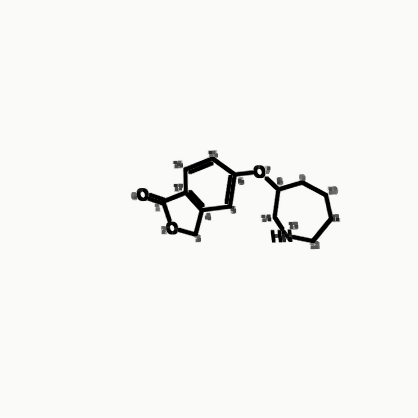 O=C1OCc2cc(OC3CCCCNC3)ccc21